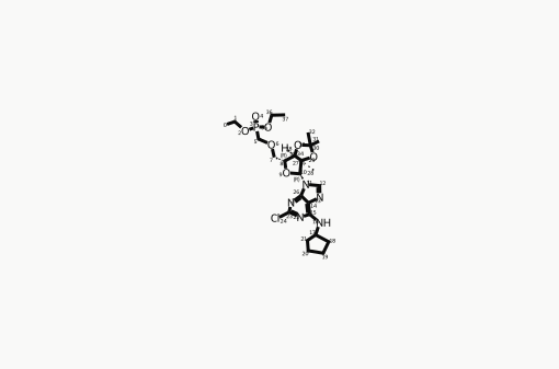 CCOP(=O)(COC[C@H]1O[C@@H](n2cnc3c(NC4CCCC4)nc(Cl)nc32)[C@]2(C)OC(C)(C)O[C@H]12)OCC